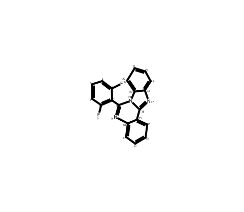 Fc1cccc(F)c1-c1nc2ccccc2c2nc3ccccc3n12